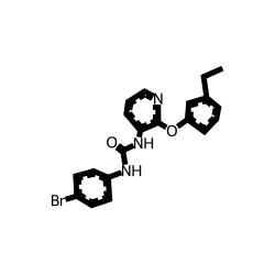 CCc1cccc(Oc2ncccc2NC(=O)Nc2ccc(Br)cc2)c1